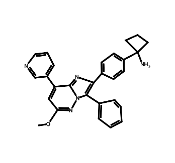 COc1cc(-c2cccnc2)c2nc(-c3ccc(C4(N)CCC4)cc3)c(-c3ccccc3)n2n1